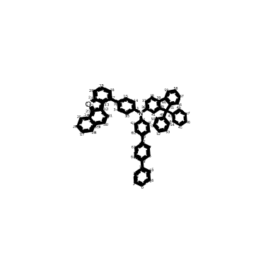 c1ccc(-c2ccc(-c3ccc(N(c4ccc(-c5cccc6oc7c8ccccc8ccc7c56)cc4)c4ccc5c(c4)C(c4ccccc4)(c4ccccc4)c4ccccc4-5)cc3)cc2)cc1